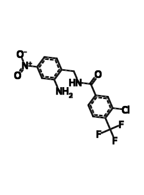 Nc1cc([N+](=O)[O-])ccc1CNC(=O)c1ccc(C(F)(F)F)c(Cl)c1